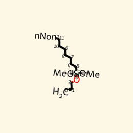 C=CCO[Si](CCCCCCCCCCCCCCCC)(OC)OC